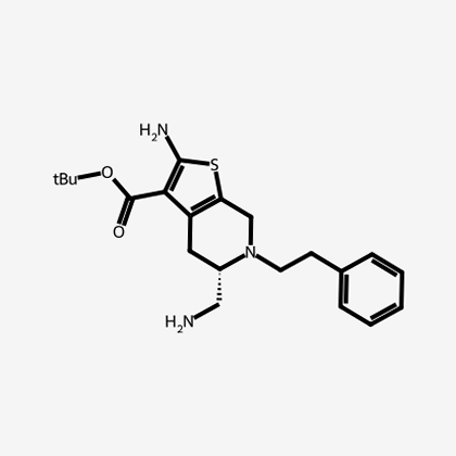 CC(C)(C)OC(=O)c1c(N)sc2c1C[C@@H](CN)N(CCc1ccccc1)C2